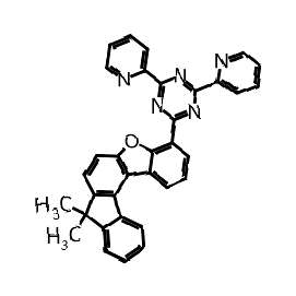 CC1(C)c2ccccc2-c2c1ccc1oc3c(-c4nc(-c5ccccn5)nc(-c5ccccn5)n4)cccc3c21